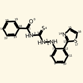 O=C(NC(=S)NNc1ccccc1-c1nccs1)c1ccccc1